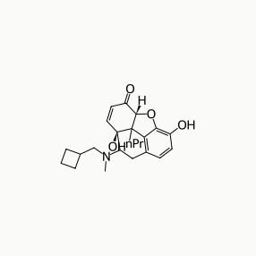 CCCC12c3c4ccc(O)c3O[C@H]1C(=O)C=C[C@@]2(O)C(N(C)CC1CCC1)C4